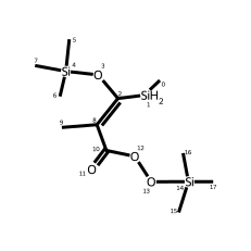 C[SiH2]C(O[Si](C)(C)C)=C(C)C(=O)OO[Si](C)(C)C